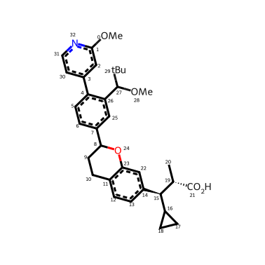 COc1cc(-c2ccc(C3CCc4ccc([C@H](C5CC5)[C@H](C)C(=O)O)cc4O3)cc2C(OC)C(C)(C)C)ccn1